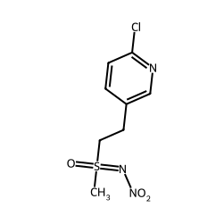 CS(=O)(CCc1ccc(Cl)nc1)=N[N+](=O)[O-]